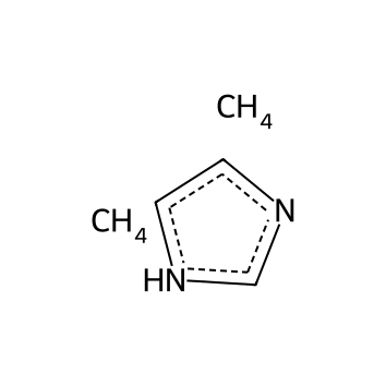 C.C.c1c[nH]cn1